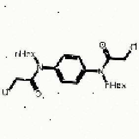 CCCCCCN(C(=O)CCl)c1ccc(N(CCCCCC)C(=O)CCl)cc1